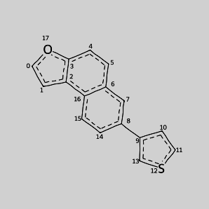 c1cc2c(ccc3cc(-c4ccsc4)ccc32)o1